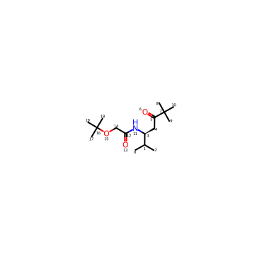 CC(C)[C@H](CC(=O)C(C)(C)C)NC(=O)COC(C)(C)C